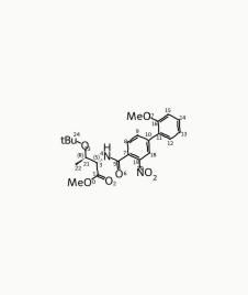 COC(=O)[C@@H](NC(=O)c1ccc(-c2ccccc2OC)cc1[N+](=O)[O-])[C@@H](C)OC(C)(C)C